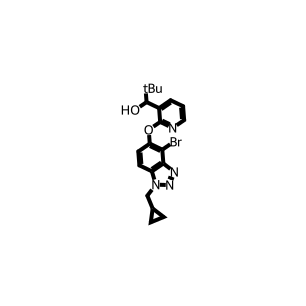 CC(C)(C)C(O)c1cccnc1Oc1ccc2c(nnn2CC2CC2)c1Br